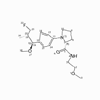 COCCNC(=O)[C@H]1CCCN1c1ccc([C@@H](OC)[C@H](C)CF)cc1